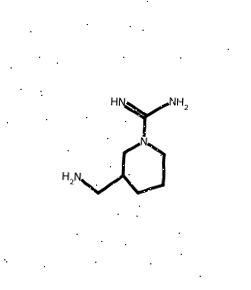 N=C(N)N1CCCC(CN)C1